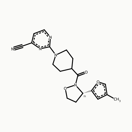 Cc1coc([C@@H]2CCON2C(=O)C2CCN(c3nccc(C#N)n3)CC2)c1